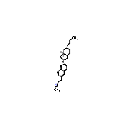 C/C=C/CCc1ccc2cc([C@@H]3CC[C@@H]4CC(CCCC)CCC4C3)ccc2c1